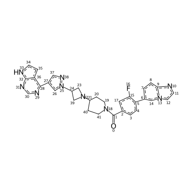 O=C(c1ccc(-c2ccc3nccn3c2)c(F)c1)N1CCC(N2CC(n3cc(-c4ncnc5[nH]ccc45)cn3)C2)CC1